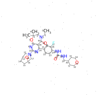 CCN1CC(C)(C)Oc2nc(N3CC4CCC(C3)O4)nc(-c3ccc(NC(=O)NCC4CCOCC4)c(F)c3)c2C1=O